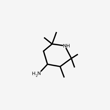 CC1C(N)CC(C)(C)NC1(C)C